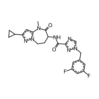 CN1C(=O)C(NC(=O)c2ncn(Cc3cc(F)cc(F)c3)n2)CCn2nc(C3CC3)cc21